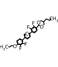 CCCOc1ccc(-c2ccc(-c3ccc(C4OCC(CCC)CO4)c(F)c3F)cc2)c(F)c1F